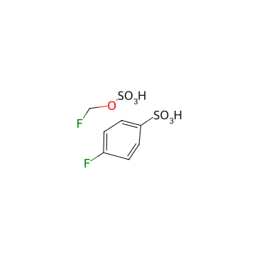 O=S(=O)(O)OCF.O=S(=O)(O)c1ccc(F)cc1